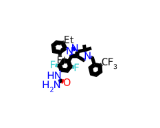 CCc1cccc(CC)c1-n1nc2c(c1-c1cc(F)c(NC(N)=O)cc1F)CN(Cc1ccccc1C(F)(F)F)C2(C)C